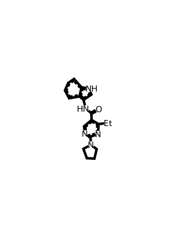 CCc1nc(N2CCCC2)ncc1C(=O)Nc1c[nH]c2ccccc12